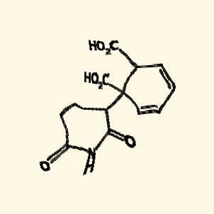 O=C1CCC(C2(C(=O)O)C=CC=CC2C(=O)O)C(=O)N1